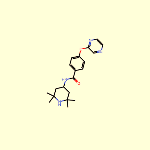 CC1(C)CC(NC(=O)c2ccc(Oc3cnccn3)cc2)CC(C)(C)N1